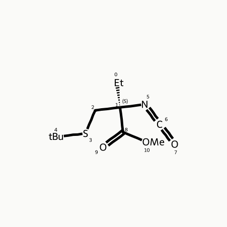 CC[C@](CSC(C)(C)C)(N=C=O)C(=O)OC